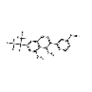 Cc1cc(C(F)(C(F)(F)F)C(F)(F)F)cc(C)c1N(C)C(=O)c1cccc(N=O)c1